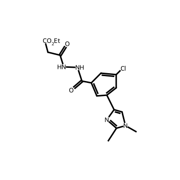 CCOC(=O)CC(=O)NNC(=O)c1cc(Cl)cc(-c2cn(C)c(C)n2)c1